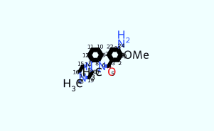 COc1cc(C(=O)N(C)c2ccccc2N2CCN(C)CC2)ccc1N